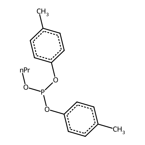 CCCOP(Oc1ccc(C)cc1)Oc1ccc(C)cc1